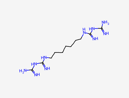 N=C(N)NC(=N)NCCCCCCCNC(=N)NC(=N)N